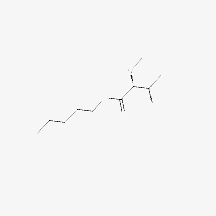 CCCCCOC(=O)[C@@H](NC)C(C)C